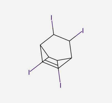 IC1C(I)C2C=CC1C(I)C2I